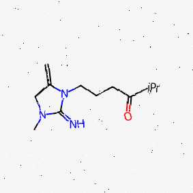 C=C1CN(C)C(=N)N1CCCC(=O)C(C)C